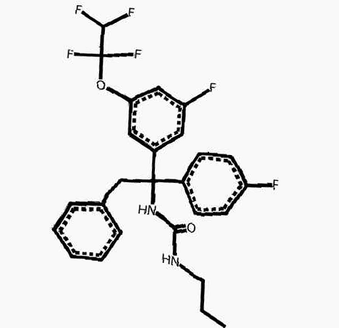 CCCNC(=O)NC(Cc1ccccc1)(c1ccc(F)cc1)c1cc(F)cc(OC(F)(F)C(F)F)c1